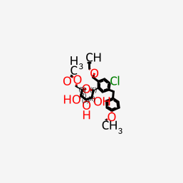 C#CCOCc1cc(Cl)c(Cc2ccc(OCC)cc2)cc1[C@@H]1O[C@H](COC(C)=O)[C@H](O)[C@@H](O)[C@H]1O